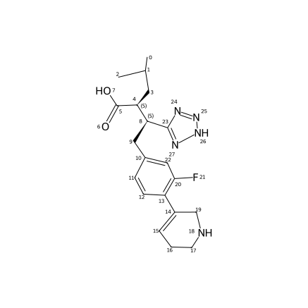 CC(C)C[C@H](C(=O)O)[C@H](Cc1ccc(C2=CCCNC2)c(F)c1)c1nn[nH]n1